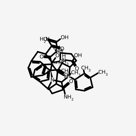 COC1(C)C(C(N)=O)Cc2ccc(cc2)[C@]1(C(=O)NC(=O)O)N1CCCC1N(c1cccc(C)c1C)C1CCCN1[C@@]1(C(=O)NC(=O)O)c2ccc(cc2)CC(C(N)=O)C1(C)OC